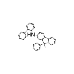 CC1(c2ccccc2)c2ccccc2-c2ccc(Nc3ccccc3-c3ccccc3)cc21